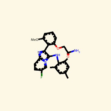 COc1cccc(OCC(N)=O)c1-c1nc2ccc(F)cn2c1Nc1c(C)cc(C)cc1C